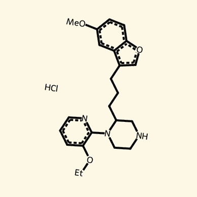 CCOc1cccnc1N1CCNCC1CCCc1coc2ccc(OC)cc12.Cl